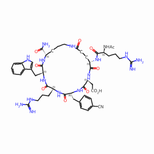 CC(=O)N[C@@H](CCCNC(=N)N)C(=O)N[C@H]1CCC(=O)NCCC[C@@H](C(N)=O)NC(=O)[C@H](Cc2c[nH]c3ccccc23)NC(=O)[C@H](CCCNC(=N)N)NC(=O)[C@@H](Cc2ccc(C#N)cc2)NC(=O)[C@H](CC(=O)O)NC1=O